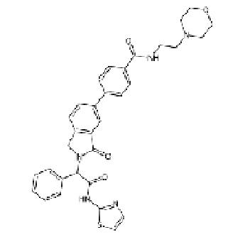 O=C(NCCN1CCOCC1)c1ccc(-c2ccc3c(c2)C(=O)N(C(C(=O)Nc2nccs2)c2ccccc2)C3)cc1